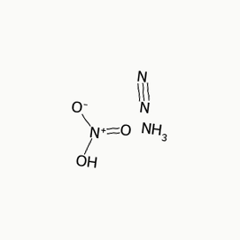 N.N#N.O=[N+]([O-])O